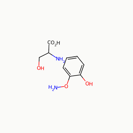 NC(CO)C(=O)O.NOc1ccccc1O